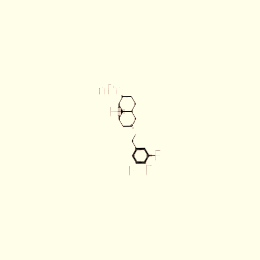 CCCC1CCC2C[C@H](CCc3cc(F)c(F)c(F)c3)CC[C@@H]2C1